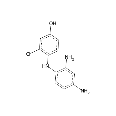 Nc1ccc(Nc2ccc(O)cc2Cl)c(N)c1